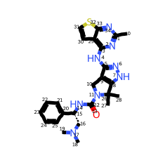 Cc1nc(Nc2n[nH]c3c2CN(C(=O)N[C@H](CN(C)C)c2ccccc2)C3(C)C)c2ccsc2n1